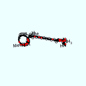 CO[C@H]1C[C@@H]2CC[C@@H](C)[C@@](O)(O2)C(=O)C(=O)N2CCCC[C@H]2C(=O)O[C@H]([C@H](C)C[C@@H]2CC[C@@H](OC(=O)NCCOCCOCCOCCOCCOCCOCCOCCOCCC(=O)N3CCc4cc(Cn5nc(-c6cnc7[nH]ccc7c6)c6c(N)ncnc65)ccc4C3)[C@H](OC)C2)C[C@@H](O)[C@H](C)/C=C(\C)[C@@H](O)[C@@H](O)C(=O)[C@H](C)C[C@H](C)/C=C/C=C/C=C/1C